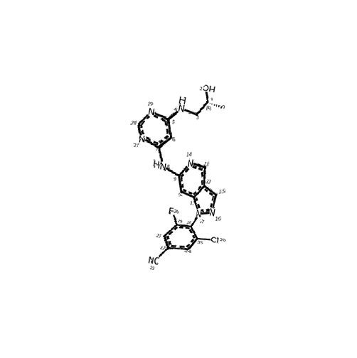 C[C@@H](O)CNc1cc(Nc2cc3c(cn2)cnn3-c2c(F)cc(C#N)cc2Cl)ncn1